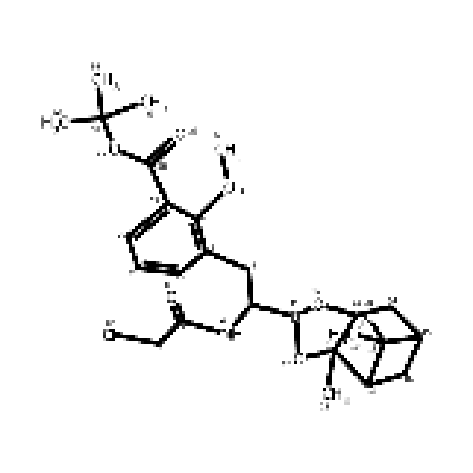 COc1c(CC(NC(=O)CCl)B2OC3CC4CC(C4(C)C)C3(C)O2)cccc1C(=O)OC(C)(C)C